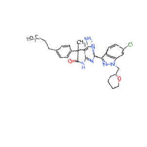 CC1(c2ccc(CCC(=O)O)cc2)C(=O)Nc2nc(-c3nn(CC4CCCCO4)c4cc(Cl)ccc34)nc(N)c21